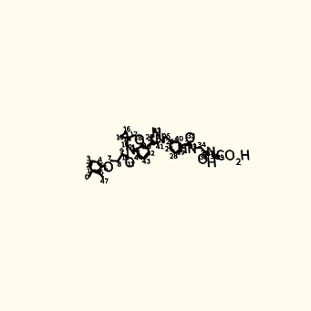 Cc1cccc(OCCCC(=O)N2CC3(CC3)COc3c(-c4cnn(Cc5cccc(C(=O)NCC(=O)NCC(=O)O)c5)c4)cccc32)c1C